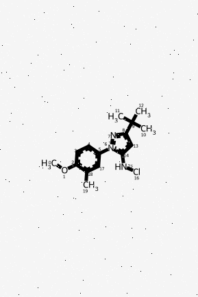 COc1ccc(-n2nc(C(C)(C)C)cc2NCl)cc1C